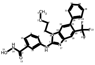 COCCn1c(Nc2cccc(C(=O)NO)c2)nc2cc(C(F)(F)F)c(-c3ccccc3)cc21